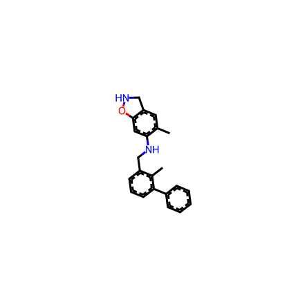 Cc1cc2c(cc1NCc1cccc(-c3ccccc3)c1C)ONC2